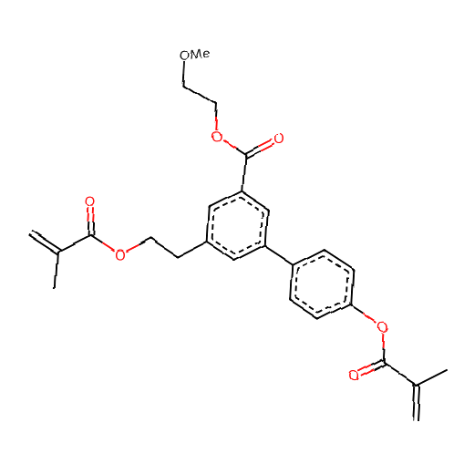 C=C(C)C(=O)OCCc1cc(C(=O)OCCOC)cc(-c2ccc(OC(=O)C(=C)C)cc2)c1